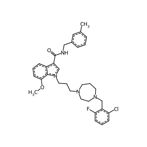 COc1cccc2c(C(=O)NCc3cccc(C)c3)cn(CCCN3CCCN(Cc4c(F)cccc4Cl)CC3)c12